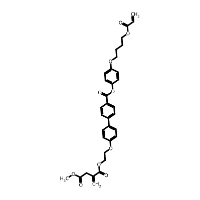 C=CC(=O)OCCCCOc1ccc(OC(=O)c2ccc(-c3ccc(OCCOC(=O)C(=C)CC(=O)OC)cc3)cc2)cc1